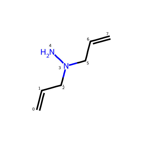 C=C[CH]N(N)CC=C